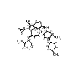 C/C=C\C(=C/N(C=O)C(C)C)n1c2nc(Nc3ccc(C4CCN(C)CC4)c(C)c3)ncc2c(=O)n1C1CC1